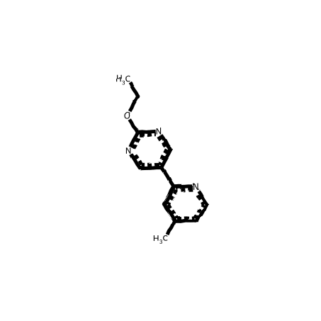 CCOc1ncc(-c2cc(C)ccn2)cn1